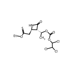 CCOC(=S)C[C@H]1NC(=O)[C@@H]1C(C)OC(=O)OC(Cl)C(Cl)Cl